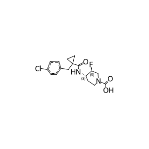 O=C(O)N1CC[C@H](NC(=O)C2(Cc3ccc(Cl)cc3)CC2)[C@@H](F)C1